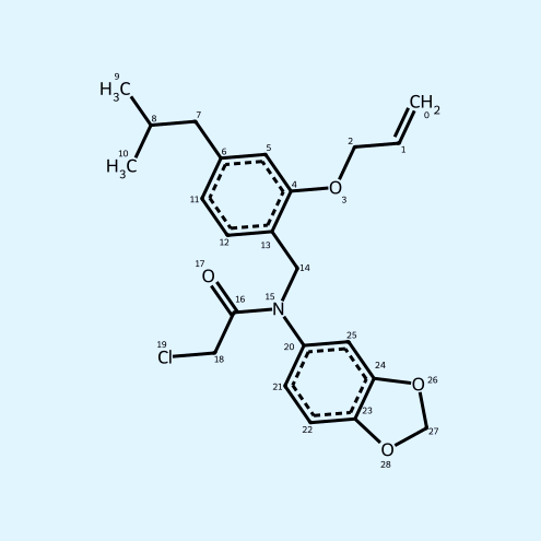 C=CCOc1cc(CC(C)C)ccc1CN(C(=O)CCl)c1ccc2c(c1)OCO2